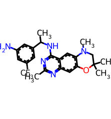 Cc1nc(NC(C)c2cc(N)cc(C(F)(F)F)c2)c2cc3c(cc2n1)OC(C)(C)CN3C